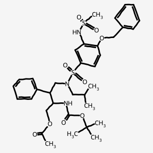 CC(=O)OCC(NC(=O)OC(C)(C)C)C(CN(CC(C)C)S(=O)(=O)c1ccc(OCc2ccccc2)c(NS(C)(=O)=O)c1)c1ccccc1